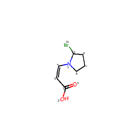 O=C(O)/C=C\N1CCCC1Br